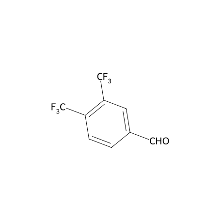 O=Cc1ccc(C(F)(F)F)c(C(F)(F)F)c1